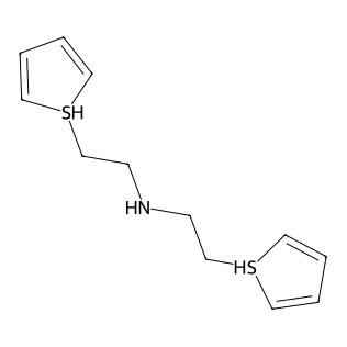 C1=C[SH](CCNCC[SH]2C=CC=C2)C=C1